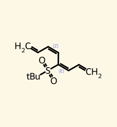 C=C/C=C\C(=C/C=C)S(=O)(=O)C(C)(C)C